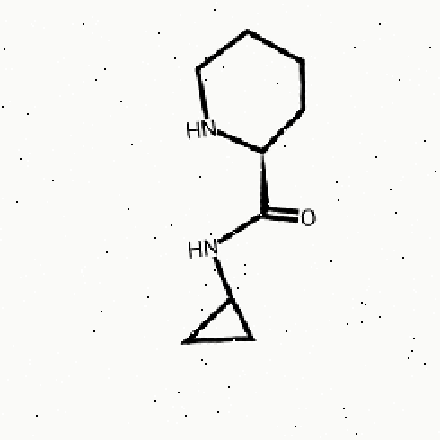 O=C(NC1CC1)[C@@H]1CCCCN1